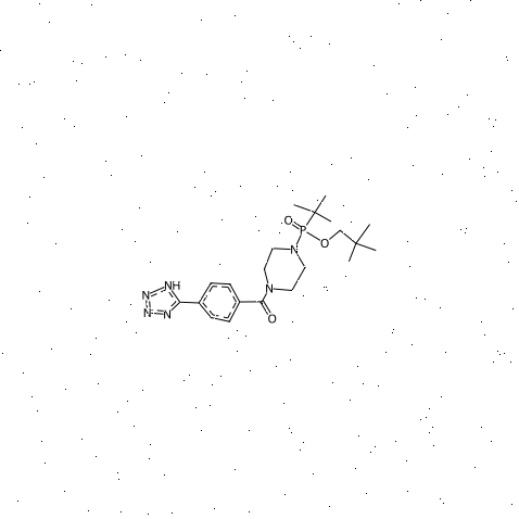 CC(C)(C)COP(=O)(N1CCN(C(=O)c2ccc(-c3nnn[nH]3)cc2)CC1)C(C)(C)C